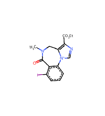 CCOC(=O)C1=C2CN(C)C(=O)c3c(I)cccc3[N+]2C=N1